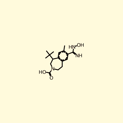 Cc1cc2c(cc1C(=N)NO)CCN(C(=O)O)CC2C(C)(C)C